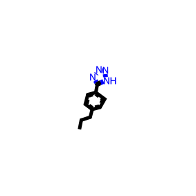 CCCc1ccc(-c2nnn[nH]2)cc1